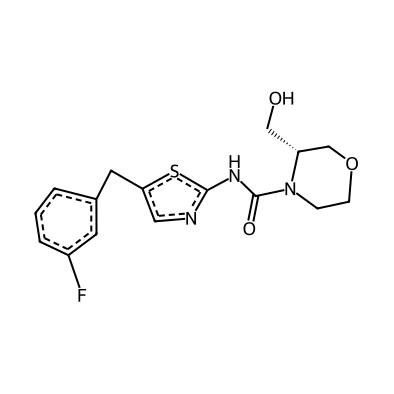 O=C(Nc1ncc(Cc2cccc(F)c2)s1)N1CCOC[C@H]1CO